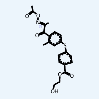 CC(=O)O/N=C(\C)C(=O)c1ccc(Sc2ccc(C(=O)OCCO)cc2)cc1C